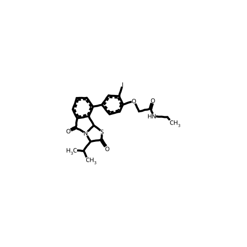 CCNC(=O)COc1ccc(-c2cccc3c2C2SC(=O)C(C(C)C)N2C3=O)cc1I